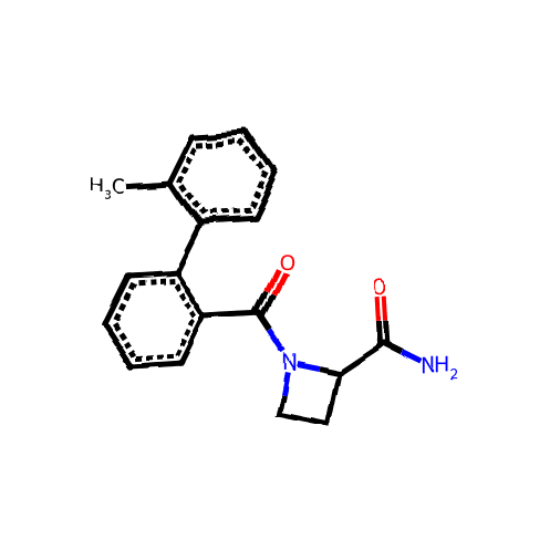 Cc1ccccc1-c1ccccc1C(=O)N1CCC1C(N)=O